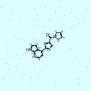 O=C(c1csc(-c2ccnc3[nH]ccc23)n1)N1CC=CC1